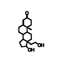 C[C@]12CCC(=O)C=C1CCC1C3CC[C@H](O)[C@@]3(CCO)CCC12